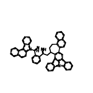 N=C(CC1CCc2c(ccc3ccccc23)-c2cc3c4ccccc4n4c5ccccc5c(c21)c34)c1ccccc1C(=N)n1c2ccccc2c2c3ccccc3ccc21